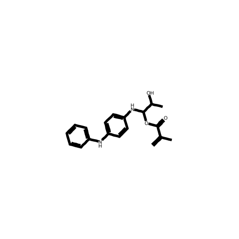 C=C(C)C(=O)OC(Nc1ccc(Nc2ccccc2)cc1)C(C)O